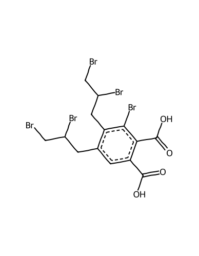 O=C(O)c1cc(CC(Br)CBr)c(CC(Br)CBr)c(Br)c1C(=O)O